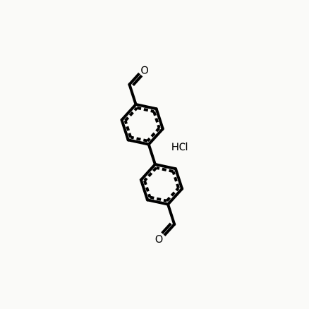 Cl.O=Cc1ccc(-c2ccc(C=O)cc2)cc1